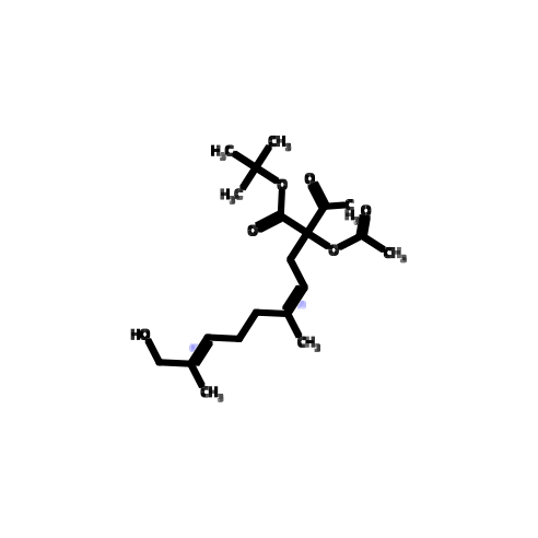 CC(=O)OC(C/C=C(/C)CC/C=C(\C)CO)(C(C)=O)C(=O)OC(C)(C)C